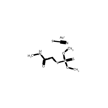 CNC(=O)CSP(=S)(OC)OC.N#C[S-].[Au+]